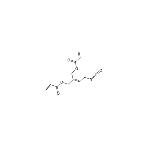 C=CC(=O)OCC(=CCN=C=O)COC(=O)C=C